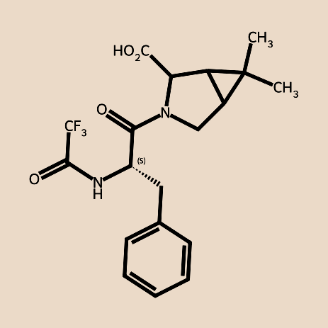 CC1(C)C2CN(C(=O)[C@H](Cc3ccccc3)NC(=O)C(F)(F)F)C(C(=O)O)C21